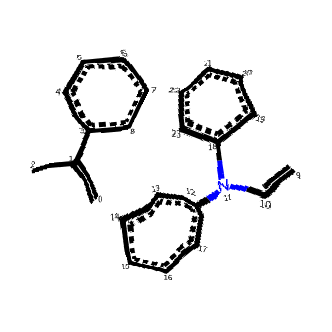 C=C(C)c1ccccc1.C=CN(c1ccccc1)c1ccccc1